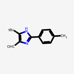 Cc1ccc(-c2nc(C=O)c(C(C)(C)C)[nH]2)cc1